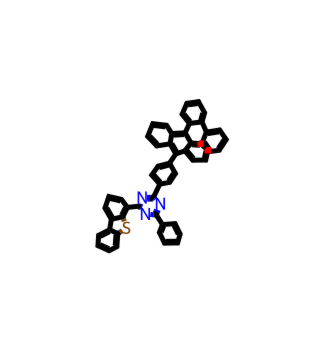 c1ccc(-c2nc(-c3ccc(-c4c5ccccc5c(-c5ccccc5-c5ccccc5)c5ccccc45)cc3)nc(-c3cccc4c3sc3ccccc34)n2)cc1